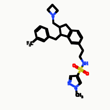 Cn1cc(S(=O)(=O)NCCc2ccc3c(c2)C(Cc2cccc(C(F)(F)F)c2)C(CN2CCC2)C3)cn1